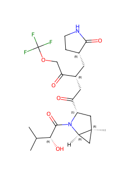 CC(C)[C@@H](O)C(=O)N1[C@H](C(=O)C[C@@H](C[C@@H]2CCNC2=O)C(=O)COC(F)(F)F)C[C@@]2(C)C[C@@H]12